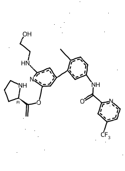 C=C(Oc1cc(-c2cc(NC(=O)c3cc(C(F)(F)F)ccn3)ccc2C)cc(NCCO)n1)[C@H]1CCCN1